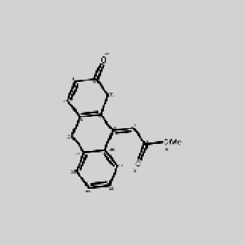 COC(=O)C=C1C2=C(C=CC(=O)C2)Cc2ccccc21